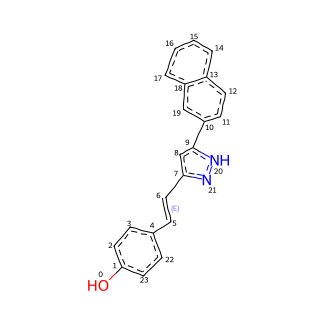 Oc1ccc(/C=C/c2cc(-c3ccc4ccccc4c3)[nH]n2)cc1